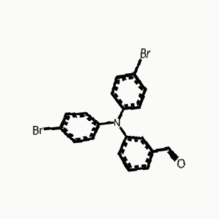 O=Cc1cccc(N(c2ccc(Br)cc2)c2ccc(Br)cc2)c1